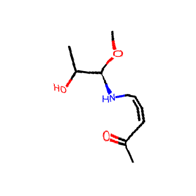 CO[C@@H](N/C=C\C(C)=O)C(C)O